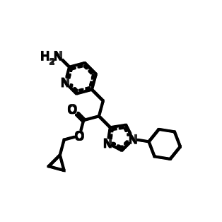 Nc1ccc(CC(C(=O)OCC2CC2)c2cn(C3CCCCC3)cn2)cn1